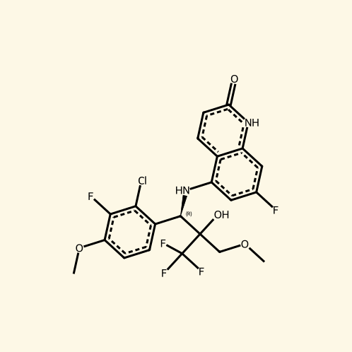 COCC(O)([C@H](Nc1cc(F)cc2[nH]c(=O)ccc12)c1ccc(OC)c(F)c1Cl)C(F)(F)F